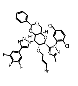 Cc1nc([C@@H]2O[C@@H]3CO[C@H](c4ccccc4)O[C@@H]3[C@H](n3cc(-c4cc(F)c(F)c(F)c4)nn3)[C@H]2OC/C=C/Br)n(-c2cc(Cl)ccc2Cl)n1